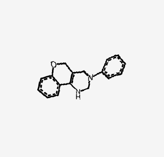 c1ccc(N2CNC3=C(COc4ccccc43)C2)cc1